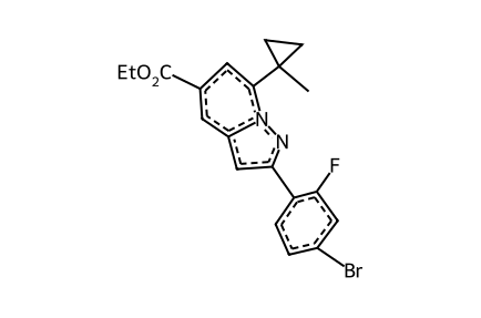 CCOC(=O)c1cc(C2(C)CC2)n2nc(-c3ccc(Br)cc3F)cc2c1